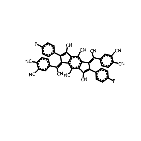 N#CC1=C(c2ccc(F)cc2)/C(=C(/C#N)c2ccc(C#N)c(C#N)c2)c2c(C#N)c3c(c(C#N)c21)/C(=C(\C#N)c1ccc(C#N)c(C#N)c1)C(c1ccc(F)cc1)=C3C#N